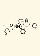 C[C@H](NC(=O)Cc1cc(F)cc(F)c1)C(=O)N[C@@H]1C(=O)N(C)C[C@@H](c2ccccc2)C[C@@H]1c1ccccc1